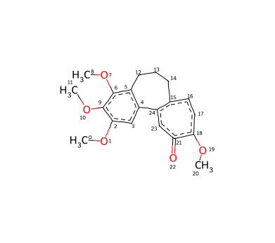 COc1cc2c(c(OC)c1OC)CCCc1ccc(OC)c(=O)cc1-2